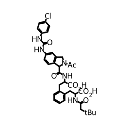 CC(=O)N1Cc2cc(NC(=O)Nc3ccc(Cl)cc3)ccc2C1C(=O)NC(Cc1ccccc1CC(NC(=O)CC(C)(C)C)C(=O)O)C(=O)O